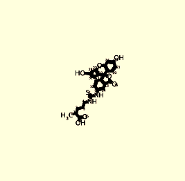 C[C@@H](CCCNC(=S)Nc1ccc2c(c1)C(=O)OC21c2ccc(O)cc2Oc2cc(O)ccc21)C(=O)O